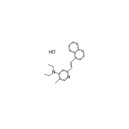 CCN(CC)c1cc(/C=C/c2cccc3ccccc23)ncc1C.Cl